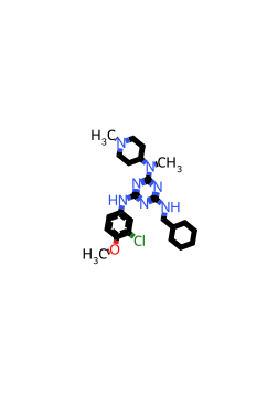 COc1ccc(Nc2nc(NCC3CCCCC3)nc(N(C)C3CCN(C)CC3)n2)cc1Cl